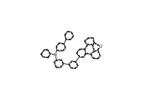 c1ccc(-c2ccc(N(c3ccccc3)c3cccc(-c4cccc(-c5ccc6c(c5)c5cccc7oc8cccc6c8c75)c4)c3)cc2)cc1